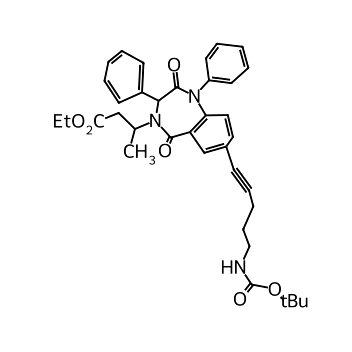 CCOC(=O)CC(C)N1C(=O)c2cc(C#CCCCNC(=O)OC(C)(C)C)ccc2N(c2ccccc2)C(=O)C1c1ccccc1